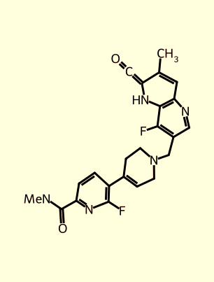 CNC(=O)c1ccc(C2=CCN(Cc3cnc4c(c3F)NC(=C=O)C(C)=C4)CC2)c(F)n1